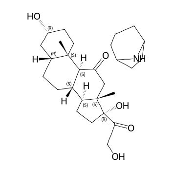 C1CC2CCC(C1)N2.C[C@]12CC[C@@H](O)C[C@H]1CC[C@@H]1[C@@H]2C(=O)C[C@@]2(C)[C@H]1CC[C@]2(O)C(=O)CO